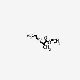 C=CCOCC(=C)C(=O)OCC